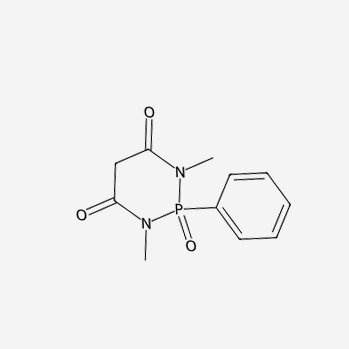 CN1C(=O)CC(=O)N(C)P1(=O)c1ccccc1